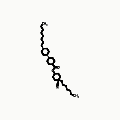 CCCCCCCC[C@H]1CC[C@H](C2CCC(C(=O)OC3CCC(C#N)(CCCCCCC)CC3)CC2)CC1